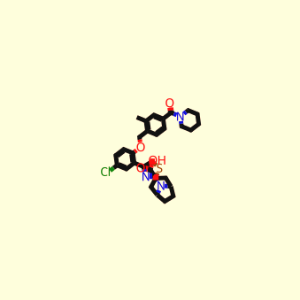 Cc1cc(C(=O)N2CCCCC2)ccc1COc1ccc(Cl)cc1-c1csc(N2C3CCC2CC(C(=O)O)C3)n1